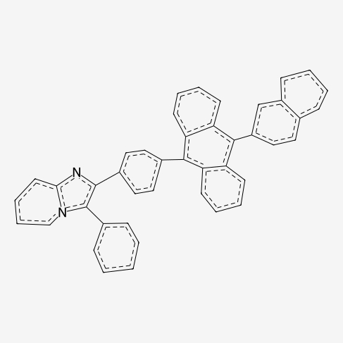 c1ccc(-c2c(-c3ccc(-c4c5ccccc5c(-c5ccc6ccccc6c5)c5ccccc45)cc3)nc3ccccn23)cc1